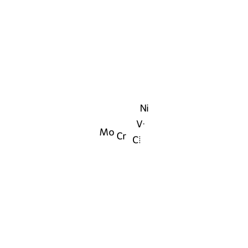 [C].[Cr].[Mo].[Ni].[V]